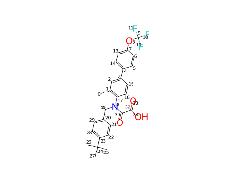 Cc1cc(-c2ccc(OC(F)(F)F)cc2)ccc1N(Cc1ccc(C(C)(C)C)cc1)C(=O)C(=O)O